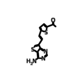 CC(=O)c1ccc(/C=C/c2csc3c(N)ncnc23)s1